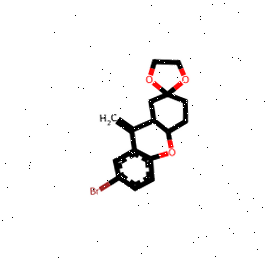 C=C1c2cc(Br)ccc2OC2CCC3(CC12)OCCO3